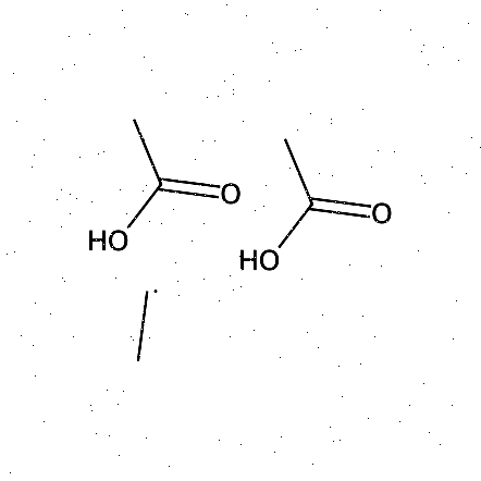 CC(=O)O.CC(=O)O.[CH2]C